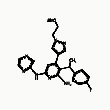 COCCn1cc(-c2cc(Nc3cnccn3)nc(N)c2C(C)c2ccc(F)cc2)cn1